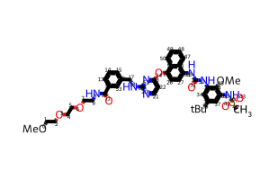 COCCOCCOCCNC(=O)c1cccc(CNc2nccc(Oc3ccc(NC(=O)Nc4cc(C(C)(C)C)cc(NS(C)(=O)=O)c4OC)c4ccccc34)n2)c1